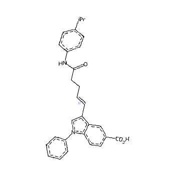 CC(C)c1ccc(NC(=O)CC/C=C/c2cn(-c3ccccc3)c3ccc(C(=O)O)cc23)cc1